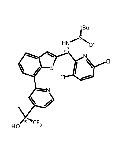 CC(C)(C)[S+]([O-])N[C@@H](c1cc2cccc(-c3cc([C@@](C)(O)C(F)(F)F)ccn3)c2s1)c1nc(Cl)ccc1Cl